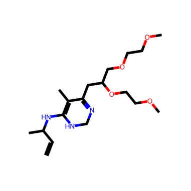 C=CC(C)NC1=C(C)C(CC(COCCOC)OCCOC)=NCN1